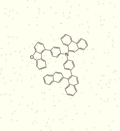 c1ccc2cc(-c3c(-c4ccc(N(c5ccc(-c6cccc7oc8ccccc8c67)cc5)c5cc6ccccc6c6ccccc56)cc4)ccc4ccccc34)ccc2c1